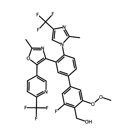 COOc1cc(-c2ccc(-n3cc(C(F)(F)F)nc3C)c(-c3nc(C)oc3-c3ccc(C(F)(F)F)nc3)c2)cc(F)c1CO